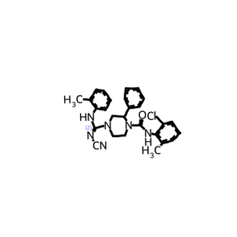 Cc1ccccc1N/C(=N/C#N)N1CCN(C(=O)Nc2c(C)cccc2Cl)C(c2ccccc2)C1